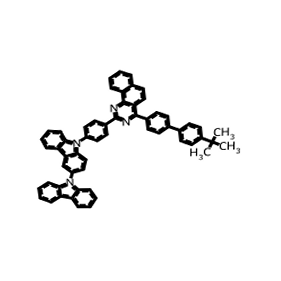 CC(C)(C)c1ccc(-c2ccc(-c3nc(-c4ccc(-n5c6ccccc6c6cc(-n7c8ccccc8c8ccccc87)ccc65)cc4)nc4c3ccc3ccccc34)cc2)cc1